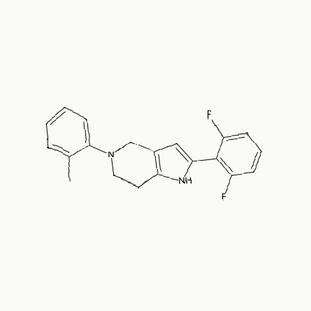 Cc1ccccc1N1CCc2[nH]c(-c3c(F)cccc3F)cc2C1